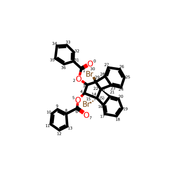 O=C(OC1C(OC(=O)c2ccccc2)[C@]2(Br)c3ccccc3[C@@]23c2ccccc2C13Br)c1ccccc1